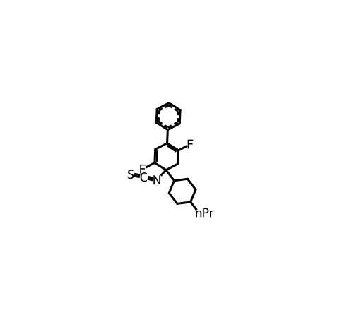 CCCC1CCC(C2(N=C=S)CC(F)=C(c3ccccc3)C=C2F)CC1